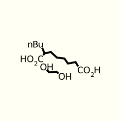 CCCCC(CCCCCC(=O)O)C(=O)O.OCCO